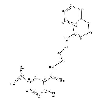 O=C(NCCCOc1cccc2cccnc12)c1cc([N+](=O)[O-])ccc1Cl